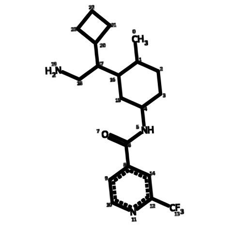 CC1CCC(NC(=O)c2ccnc(C(F)(F)F)c2)CC1C(CN)C1CCC1